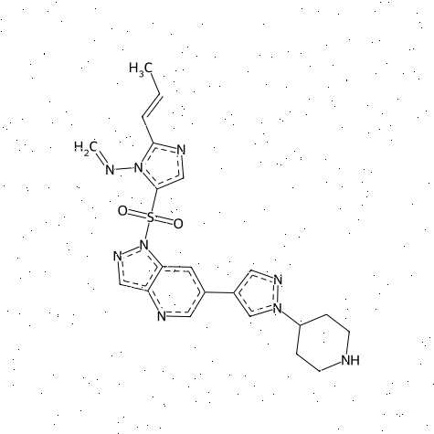 C=Nn1c(S(=O)(=O)n2ncc3ncc(-c4cnn(C5CCNCC5)c4)cc32)cnc1/C=C/C